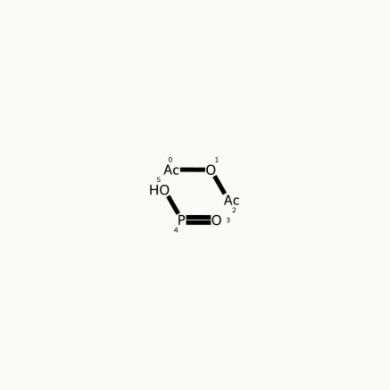 CC(=O)OC(C)=O.O=PO